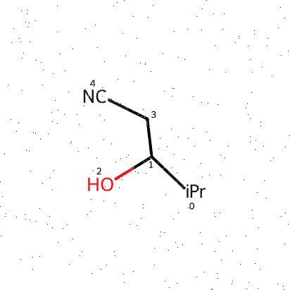 CC(C)C(O)CC#N